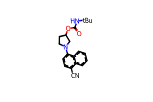 CC(C)(C)NC(=O)OC1CCN(c2ccc(C#N)c3ccccc23)C1